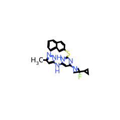 Cc1cc(Nc2cc(N3CC(F)(C4CC4)C3)nc(Sc3ccc4ccccc4c3)n2)[nH]n1